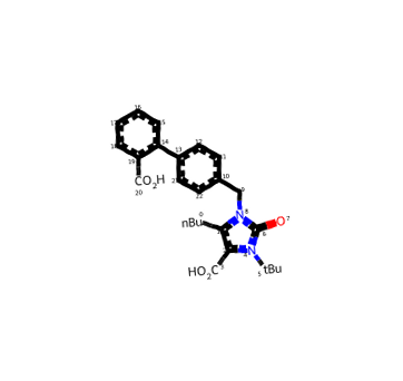 CCCCc1c(C(=O)O)n(C(C)(C)C)c(=O)n1Cc1ccc(-c2ccccc2C(=O)O)cc1